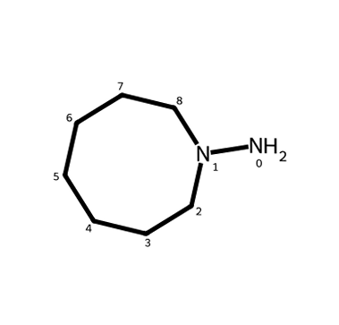 NN1CCCCCCC1